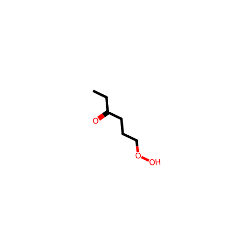 CCC(=O)CCCOO